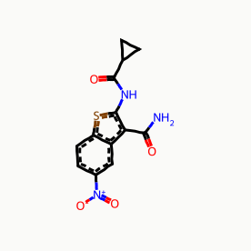 NC(=O)c1c(NC(=O)C2CC2)sc2ccc([N+](=O)[O-])cc12